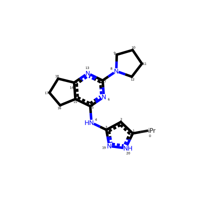 CC(C)c1cc(Nc2nc(N3[CH]CCC3)nc3c2CCC3)n[nH]1